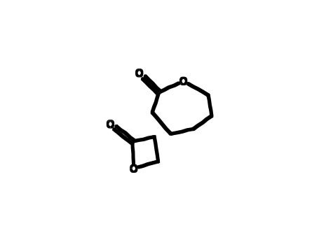 O=C1CCCCCO1.O=C1CCO1